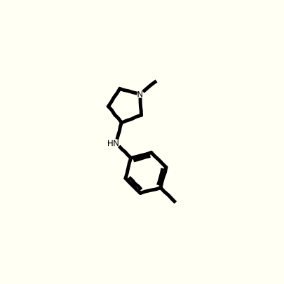 Cc1ccc(NC2CCN(C)C2)cc1